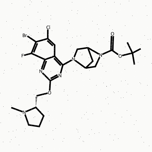 CN1CCC[C@H]1COc1nc(N2CC3CC2CN3C(=O)OC(C)(C)C)c2cc(Cl)c(Br)c(F)c2n1